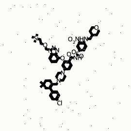 CC1(C)CCC(CN2CCN(c3ccc(C(=O)NS(=O)(=O)c4ccc(NCC5CCOCC5)c([N+](=O)[O-])c4)c(Oc4cccc5c4nnn5COCC[Si](C)(C)C)c3)CC2)=C(c2ccc(Cl)cc2)C1